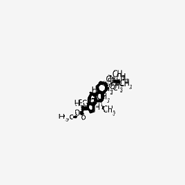 CCOC(=O)C(F)=C1CC[C@H]2[C@@H]3[C@@H](CC)C=C4CC(O[Si](C)(C)C(C)(C)C)CC[C@]4(C)[C@H]3CC[C@]12C